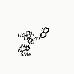 CSc1ncnn2c([C@H]3C[C@H](OC(C)(C)O)[C@@H](COc4ccc5cccnc5c4)O3)ccc12